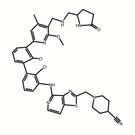 COc1nc(-c2cccc(-c3cccc(Nc4nccc5sc(CN6CCC(C#N)CC6)nc45)c3Cl)c2Cl)cc(C)c1CNCC1CCC(=O)N1